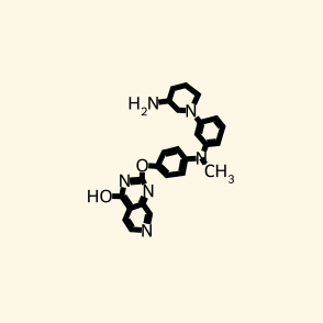 CN(c1ccc(Oc2nc(O)c3ccncc3n2)cc1)c1cccc(N2CCCC(N)C2)c1